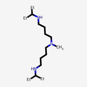 CCC(CC)NCCCCN(C)CCCCNC(CC)CC